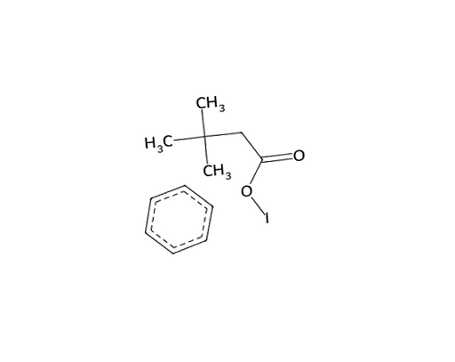 CC(C)(C)CC(=O)OI.c1ccccc1